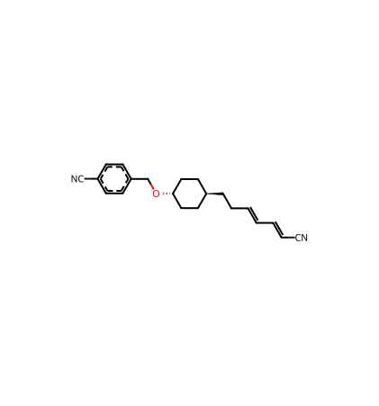 N#CC=CC=CCC[C@H]1CC[C@H](OCc2ccc(C#N)cc2)CC1